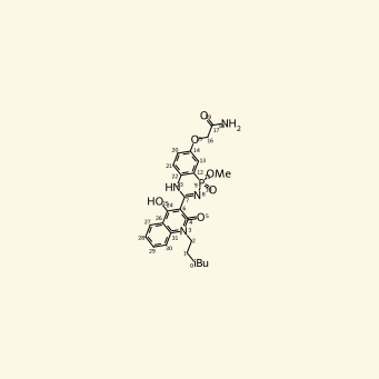 CCC(C)CCn1c(=O)c(C2=NP(=O)(OC)c3cc(OCC(N)=O)ccc3N2)c(O)c2ccccc21